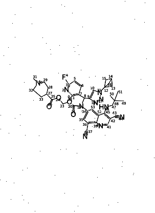 Cc1nc(F)ccc1C(c1cn(C23CC(C2)C3)nn1)N(C(=O)OCOC(=O)C1CCN(C)CC1)c1cc(C#N)c2ncc(C#N)c(NCC(C)(C)C)c2c1